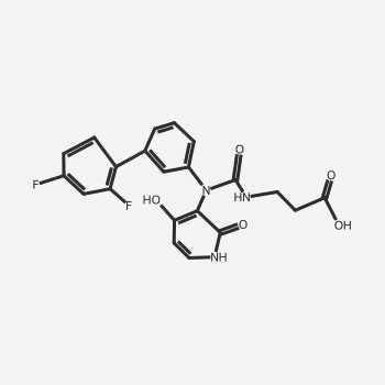 O=C(O)CCNC(=O)N(c1cccc(-c2ccc(F)cc2F)c1)c1c(O)cc[nH]c1=O